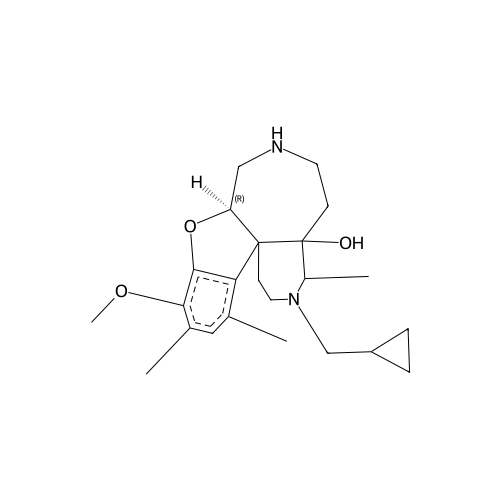 COc1c(C)cc(C)c2c1O[C@H]1CNCCC3(O)C(C)N(CC4CC4)CCC213